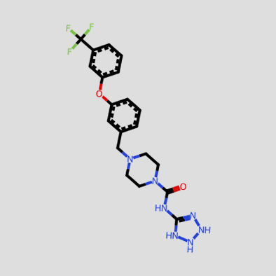 O=C(NC1=NNNN1)N1CCN(Cc2cccc(Oc3cccc(C(F)(F)F)c3)c2)CC1